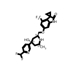 C[C@H]1C[C@@](O)(c2ccc(C(F)F)nc2)C[C@@H](COc2cc3c(c(C(F)(F)F)c2)C2(CC2)C(=O)N3)N1